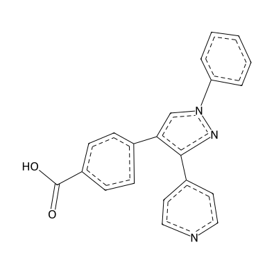 O=C(O)c1ccc(-c2cn(-c3ccccc3)nc2-c2ccncc2)cc1